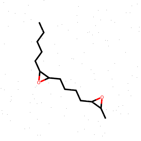 CCCCCC1OC1CCCCC1OC1C